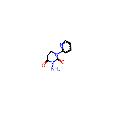 NN1C(=O)CCN(c2ccccn2)C1=O